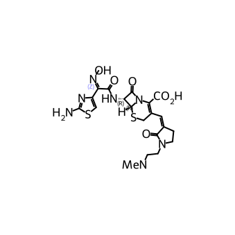 CNCCN1CCC(=CC2=C(C(=O)O)N3C(=O)[C@@H](NC(=O)/C(=N\O)c4csc(N)n4)[C@H]3SC2)C1=O